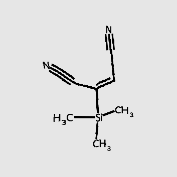 C[Si](C)(C)C(C#N)=CC#N